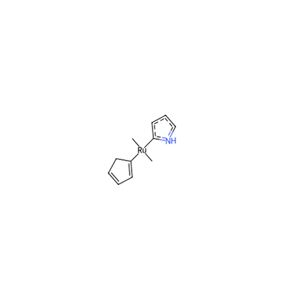 [CH3][Ru]([CH3])([C]1=CC=CC1)[c]1ccc[nH]1